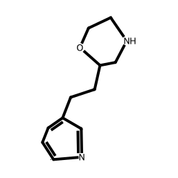 [c]1ccc(CCC2CNCCO2)cn1